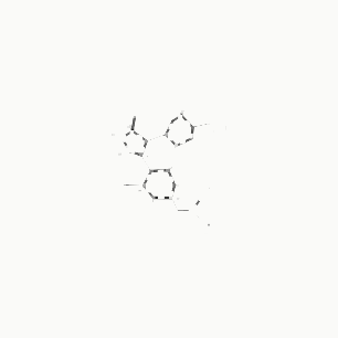 Cc1ccc(-c2c(-c3ccc(CS(=O)O)cc3Cl)ssc2=S)cc1